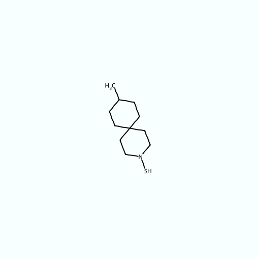 CC1CCC2(CC1)CCN(S)CC2